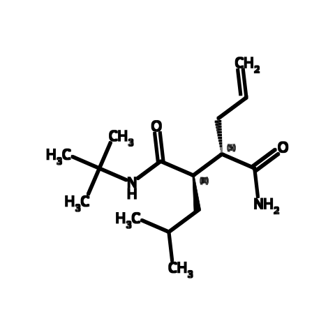 C=CC[C@H](C(N)=O)[C@@H](CC(C)C)C(=O)NC(C)(C)C